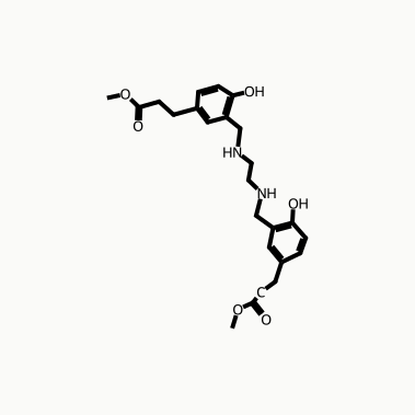 COC(=O)CCc1ccc(O)c(CNCCNCc2cc(CCC(=O)OC)ccc2O)c1